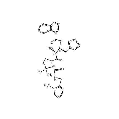 Cc1ccccc1CNC(=O)[C@H]1N(C(=O)[C@@H](O)[C@H](Cc2ccccc2)NC(=O)c2cncc3ccccc23)CSC1(C)C